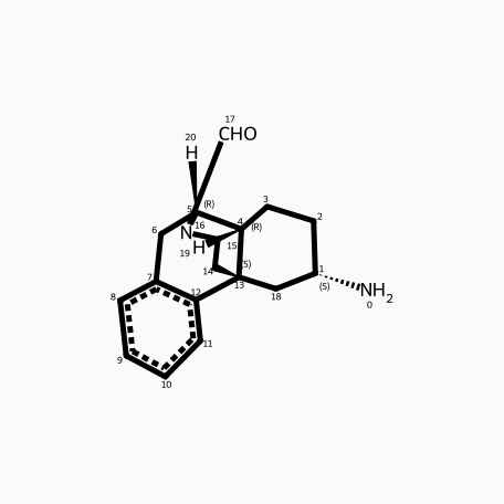 N[C@H]1CC[C@H]2[C@H]3Cc4ccccc4[C@@]2(CCN3C=O)C1